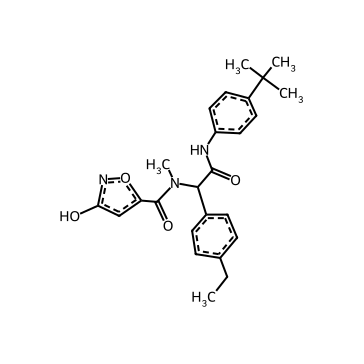 CCc1ccc(C(C(=O)Nc2ccc(C(C)(C)C)cc2)N(C)C(=O)c2cc(O)no2)cc1